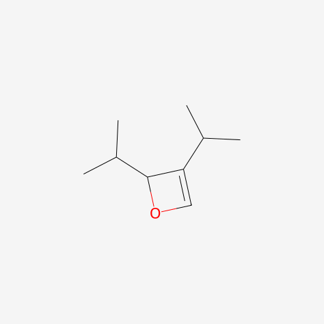 CC(C)C1=COC1C(C)C